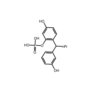 CCCC(c1cccc(O)c1)c1ccc(O)cc1OP(=O)(O)O